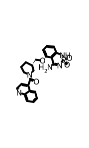 NC1=NS(=O)(=O)Nc2cccc(OC[C@H]3CCCN(C(=O)c4ccnc5ccccc45)C3)c21